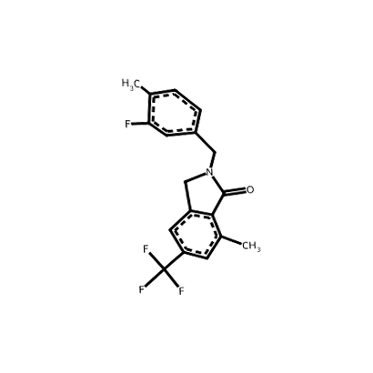 Cc1ccc(CN2Cc3cc(C(F)(F)F)cc(C)c3C2=O)cc1F